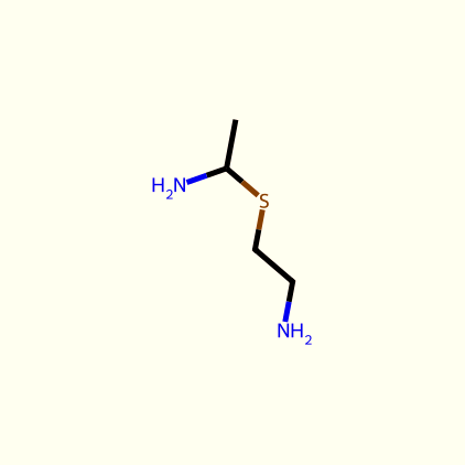 CC(N)SCCN